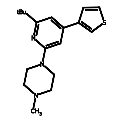 CN1CCN(c2cc(-c3ccsc3)cc(C(C)(C)C)n2)CC1